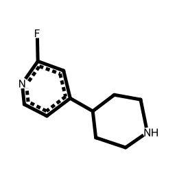 Fc1cc(C2CCNCC2)ccn1